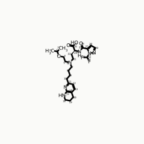 CC(C)OCCN(CCCCc1ccc2c(n1)NCCC2)CC[C@H](NC(=O)c1ccnn1C(F)F)C(=O)O